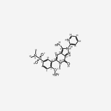 CCCOc1ccc(S(=O)(=O)N(C)C)cc1-c1nc2c(CCC)n(-c3ccccn3)nc2c(=O)n1C